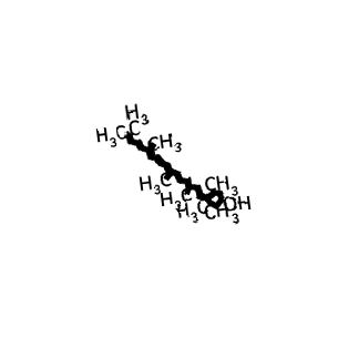 CC(C)=C/C=C/C(C)=C/C=C/C=C(C)/C=C/C=C(C)/C=C/C1=C(C)CC(O)CC1(C)C